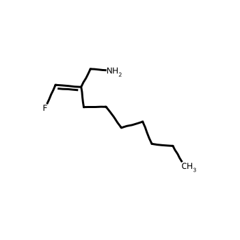 CCCCCCC/C(=C\F)CN